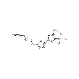 Cn1nc(-c2ccc(OCNCC#N)s2)cc1C(F)(F)F